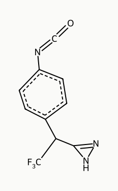 O=C=Nc1ccc(C(C2=NN2)C(F)(F)F)cc1